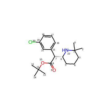 CC1(C)CCC[C@H](C(C(=O)OC(C)(C)C)c2cccc(Cl)c2)N1